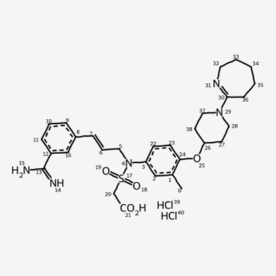 Cc1cc(N(C/C=C/c2cccc(C(=N)N)c2)S(=O)(=O)CC(=O)O)ccc1OC1CCN(C2=NCCCCC2)CC1.Cl.Cl